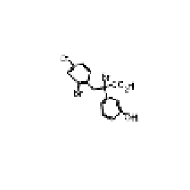 CCc1ccc(CC(Br)(C(=O)O)c2cccc(O)c2)c(Br)c1